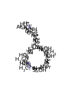 C/C=C1\N=C(\O)C(C(C)O)N=C(O)c2csc(n2)-c2ccc(-c3nc(-c4nc(C(=O)N/C(=C/C)C(=O)NCC(C)=O)cs4)cs3)nc2-c2csc(n2)C(C(C)O)N=C(O)c2csc(n2)C(C(C)C)N=C(O)c2csc1n2